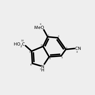 COc1cc(C#N)cc2[nH]cc(C(=O)O)c12